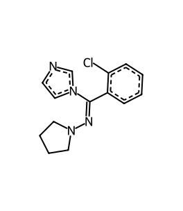 Clc1ccccc1C(=NN1CCCC1)n1ccnc1